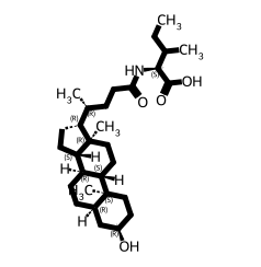 CCC(C)[C@H](NC(=O)CC[C@@H](C)[C@H]1CC[C@H]2[C@@H]3CC[C@@H]4C[C@H](O)CC[C@]4(C)[C@H]3CC[C@]12C)C(=O)O